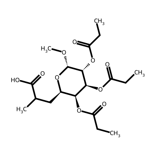 CCC(=O)O[C@H]1[C@@H](OC(=O)CC)[C@@H](CC(C)C(=O)O)O[C@H](OC)[C@@H]1OC(=O)CC